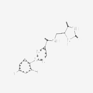 O=C1NC(=O)C(CNC(=O)c2cnn(-c3ccc(F)cc3F)n2)N1